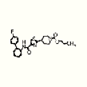 C=CCOC(=O)N1CCC(c2nc(C(=O)Nc3ccccc3-c3ccc(F)cc3)cs2)CC1